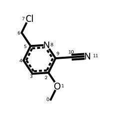 COc1ccc(CCl)nc1C#N